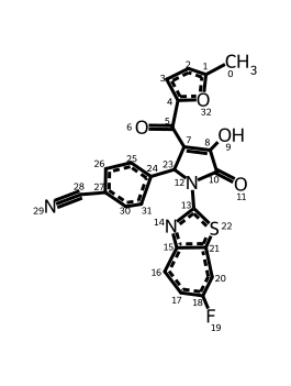 Cc1ccc(C(=O)C2=C(O)C(=O)N(c3nc4ccc(F)cc4s3)C2c2ccc(C#N)cc2)o1